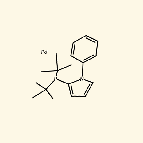 CC(C)(C)P(c1cccn1-c1ccccc1)C(C)(C)C.[Pd]